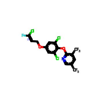 F/C(Cl)=C/COc1cc(Cl)c(Oc2ncc(C(F)(F)F)cc2C(F)(F)F)c(Cl)c1